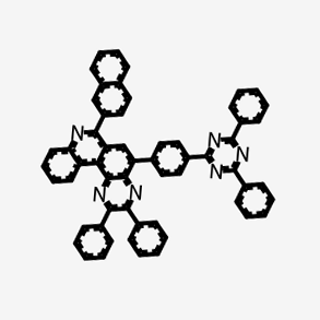 c1ccc(-c2nc(-c3ccccc3)nc(-c3ccc(-c4cc5c(-c6ccc7ccccc7c6)nc6ccccc6c5c5nc(-c6ccccc6)c(-c6ccccc6)nc45)cc3)n2)cc1